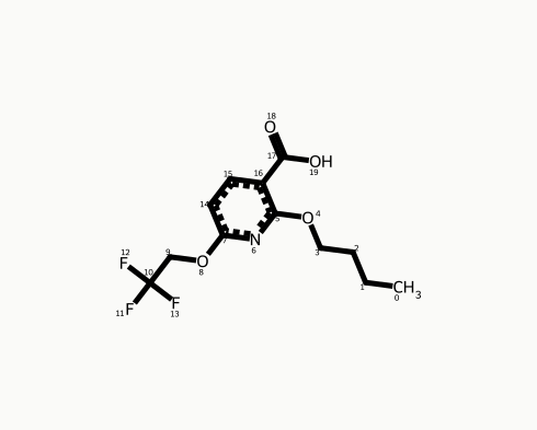 CCCCOc1nc(OCC(F)(F)F)ccc1C(=O)O